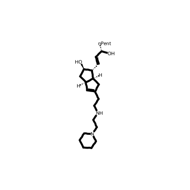 CCCCC[C@H](O)/C=C/[C@@H]1[C@H]2CC(CCNCCN3CCCCC3)=C[C@H]2C[C@H]1O